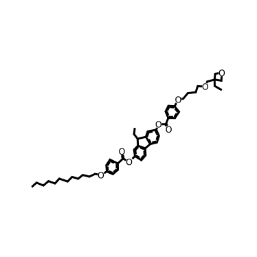 CCCCCCCCCCCCOc1ccc(C(=O)Oc2ccc3c(c2)C(CC)c2cc(OC(=O)c4ccc(OCCCCOCC5(CC)COC5)cc4)ccc2-3)cc1